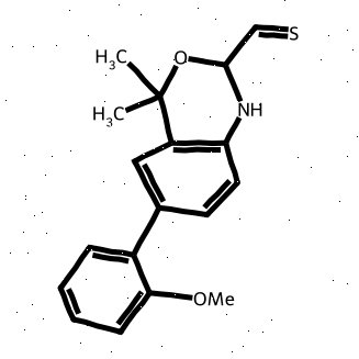 COc1ccccc1-c1ccc2c(c1)C(C)(C)OC(C=S)N2